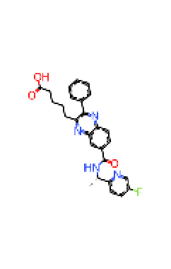 C[C@H](NC(=O)c1ccc2nc(-c3ccccc3)c(CCCCC(=O)O)nc2c1)c1ccc(F)cn1